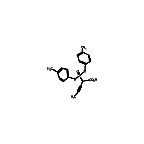 CC#CC(C(=O)O)P(=O)(Oc1ccc(C)cc1)Oc1ccc(C)cc1